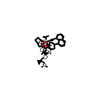 CC(C)[Si](C#Cc1cccc2cccc(C3CCc4c(nc(OCC5(CN(C)C)CC5)nc4N4CC5CCC(C4)N5C(=O)OC(C)(C)C)C3)c12)(C(C)C)C(C)C